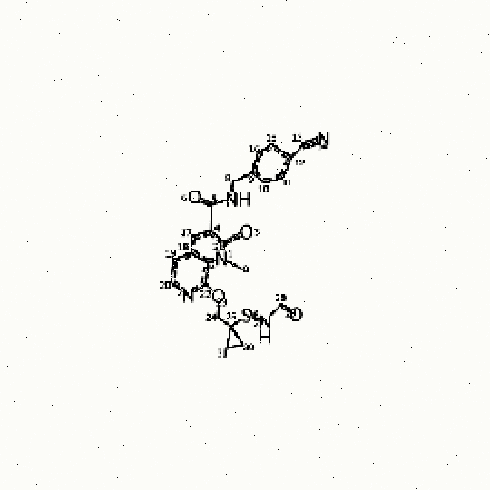 Cn1c(=O)c(C(=O)NCc2ccc(C#N)cc2)cc2ccnc(OCC3(SNC=O)CC3)c21